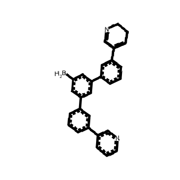 Bc1cc(-c2cccc(C3=CCCN=C3)c2)cc(-c2cccc(-c3cccnc3)c2)c1